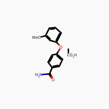 CC(=O)O.COc1cccc(Oc2ccc(C(N)=O)cc2)c1